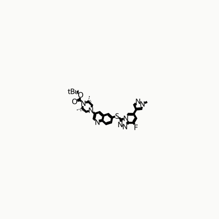 C[C@@H]1CN(c2cnc3ccc(Sc4nnc5c(F)cc(-c6cnn(C)c6)cn45)cc3c2)C[C@H](C)N1C(=O)OC(C)(C)C